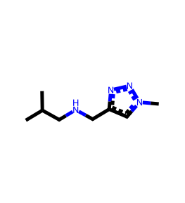 CC(C)CNCc1cn(C)nn1